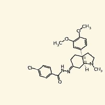 COc1ccc([C@@]23CCC(=NNC(=O)c4ccc(Cl)cc4)C[C@@H]2N(C)CC3)cc1OC